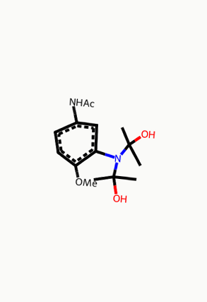 COc1ccc(NC(C)=O)cc1N(C(C)(C)O)C(C)(C)O